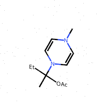 CCC(C)(OC(C)=O)N1C=CN(C)C=C1